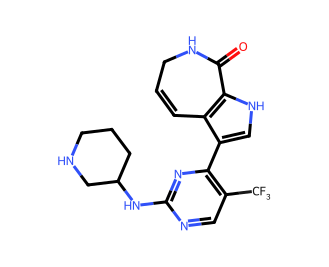 O=C1NCC=Cc2c(-c3nc(NC4CCCNC4)ncc3C(F)(F)F)c[nH]c21